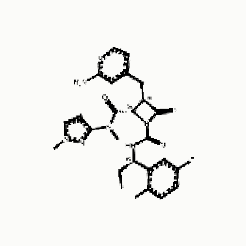 CC[C@@H](NC(=O)N1C(=O)[C@H](Cc2ccnc(N)c2)[C@H]1C(=O)N(C)c1ccn(C)n1)c1cc(F)ccc1C